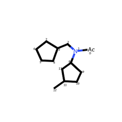 CC(=O)N(CC1CCCC1)C1CCC(C)C1